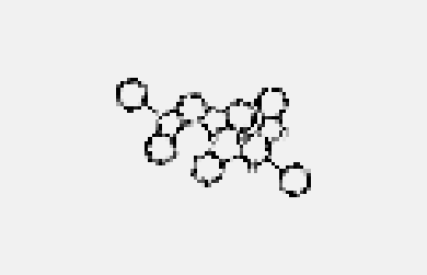 c1ccc(-c2nc(-c3ccccc3-n3c4ccccc4c4ccc5c(c6ccccc6n5-c5ccccc5)c43)nc3c2oc2ccccc23)cc1